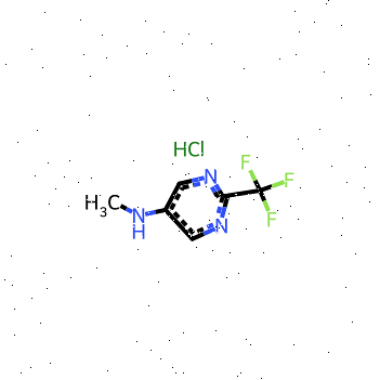 CNc1cnc(C(F)(F)F)nc1.Cl